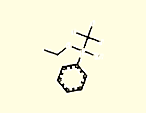 CCO[PH](O)(c1ccccc1)C(F)(F)F